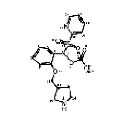 O=C(ON(c1ccccc1OCC1CCNC1)S(=O)(=O)c1ccccn1)C(F)(F)F